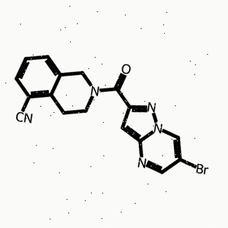 N#Cc1cccc2c1CCN(C(=O)c1cc3ncc(Br)cn3n1)C2